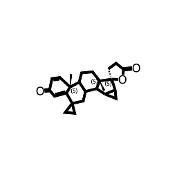 C[C@]12C=CC(=O)C=C1C1(CC1)CC1C2CC[C@@]2(C)C1C1CC1[C@@]21CCC(=O)O1